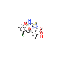 CCC(C(=O)O)c1nsc(NS(=O)(=O)c2cccc(Cl)c2C)n1